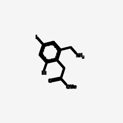 CCc1cc(I)cc(CN)c1CC(=O)OC